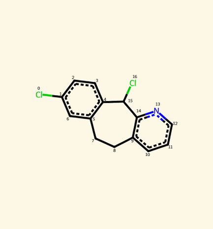 Clc1ccc2c(c1)CCc1cccnc1C2Cl